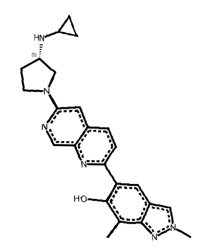 Cc1c(O)c(-c2ccc3cc(N4CC[C@H](NC5CC5)C4)ncc3n2)cc2cn(C)nc12